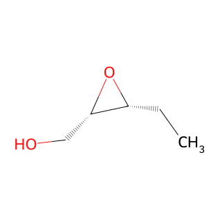 CC[C@H]1O[C@H]1CO